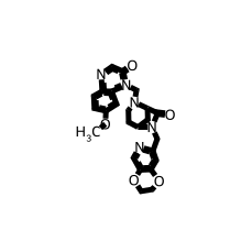 COc1ccc2ncc(=O)n(CN3CCC4CC3C(=O)N4Cc3cc4c(cn3)OCCO4)c2c1